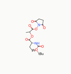 CC(C)CC(NC(=O)OC(C)(C)C)C(=O)OC(C)C(=O)ON1C(=O)CCC1=O